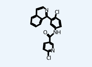 O=C(Nc1ccc(Cl)c(-c2nccc3ccccc23)c1)c1ccc(Cl)nc1